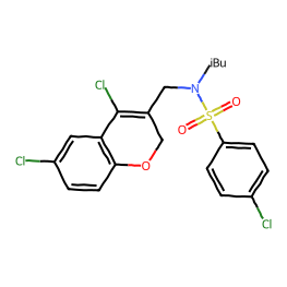 CCC(C)N(CC1=C(Cl)c2cc(Cl)ccc2OC1)S(=O)(=O)c1ccc(Cl)cc1